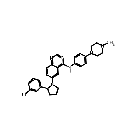 CN1CCN(c2ccc(Nc3ncnc4ccc(N5CCCC5c5cccc(Cl)c5)cc34)cc2)CC1